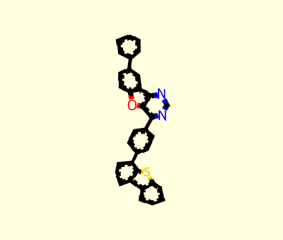 c1ccc(-c2ccc3oc4c(-c5ccc(-c6cccc7c6sc6ccccc67)cc5)ncnc4c3c2)cc1